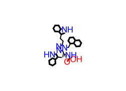 O=C(O)N[C@H](Cc1c[nH]c2ccccc12)c1nnc(CCc2c[nH]c3ccccc23)n1Cc1cccc2ccccc12